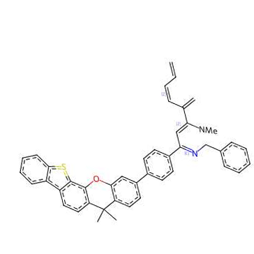 C=C/C=C\C(=C)/C(=C/C(=N\Cc1ccccc1)c1ccc(-c2ccc3c(c2)Oc2c(ccc4c2sc2ccccc24)C3(C)C)cc1)NC